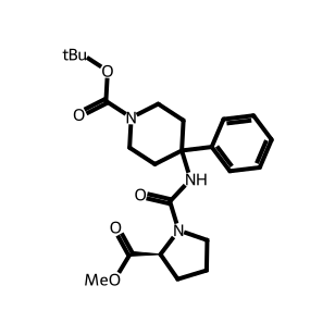 COC(=O)[C@@H]1CCCN1C(=O)NC1(c2ccccc2)CCN(C(=O)OC(C)(C)C)CC1